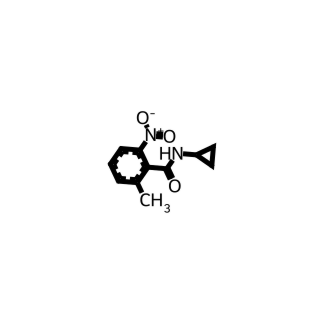 Cc1cccc([N+](=O)[O-])c1C(=O)NC1CC1